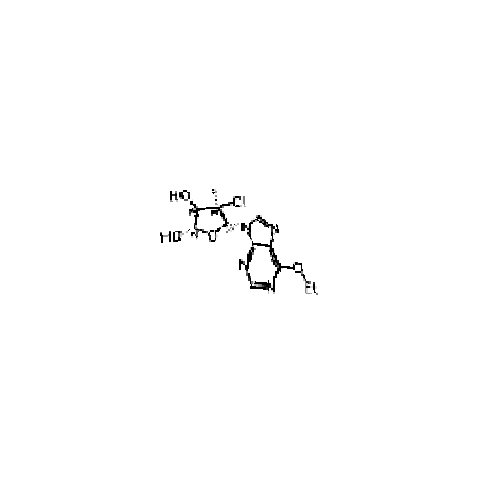 CCOc1ncnc2c1ncn2[C@@H]1O[C@H](O)[C@@H](O)[C@@]1(C)Cl